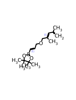 C=C(C)/C=C(\C)COC/C=C/B1OC(C)(C)C(C)(C)O1